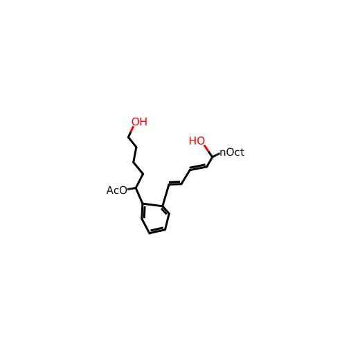 CCCCCCCCC(O)C=CC=Cc1ccccc1C(CCCCO)OC(C)=O